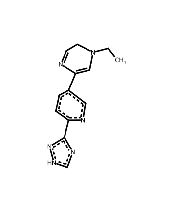 CCN1C=C(c2ccc(-c3nc[nH]n3)nc2)N=CC1